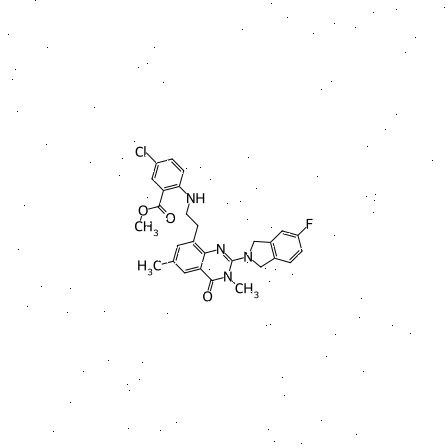 COC(=O)c1cc(Cl)ccc1NCCc1cc(C)cc2c(=O)n(C)c(N3Cc4ccc(F)cc4C3)nc12